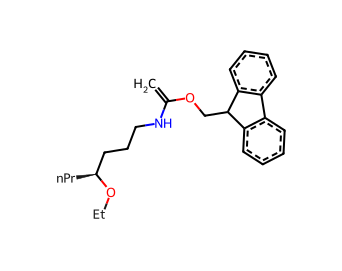 C=C(NCCC[C@H](CCC)OCC)OCC1c2ccccc2-c2ccccc21